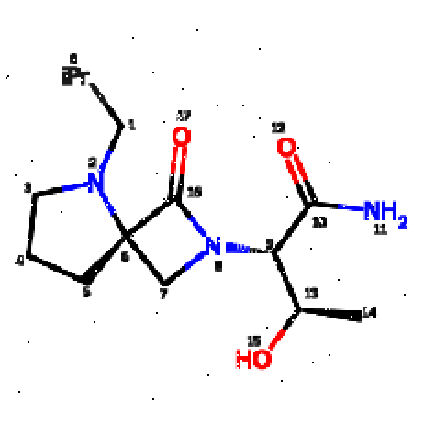 CC(C)CN1CCC[C@@]12CN([C@H](C(N)=O)[C@@H](C)O)C2=O